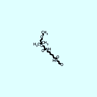 CCOCCC(C)(C)OCC(=O)NCCCCCC(=O)NCC=O